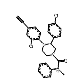 C#Cc1ccc(N2CCN(C(=O)[C@@H](C)c3ccccc3)CC2c2ccc(Cl)cc2)c(Cl)c1